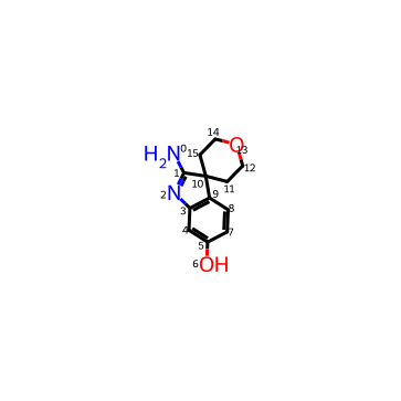 NC1=Nc2cc(O)ccc2C12CCOCC2